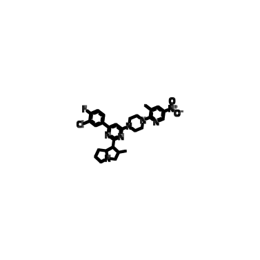 Cc1cc([N+](=O)[O-])cnc1N1CCN(c2cc(-c3ccc(F)c(Cl)c3)nc(C3C(C)CN4CCCC34)n2)CC1